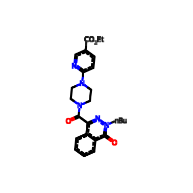 CCCCn1nc(C(=O)N2CCN(c3ccc(C(=O)OCC)cn3)CC2)c2ccccc2c1=O